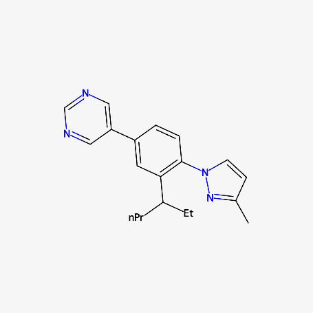 CCCC(CC)c1cc(-c2cncnc2)ccc1-n1ccc(C)n1